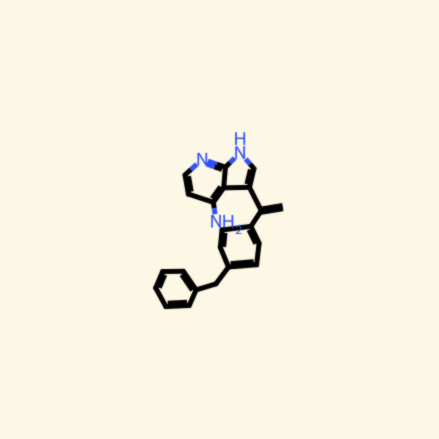 C=C(c1ccc(Cc2ccccc2)cc1)c1c[nH]c2nccc(N)c12